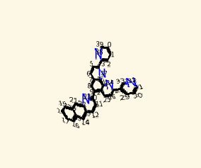 c1ccc(-c2ccc3cc(-c4ccc5cc6ccccc6cc5n4)c4ccc(-c5cccnc5)nc4c3n2)nc1